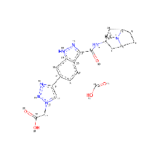 CN1C2CCC1CC(NC(=O)c1n[nH]c3cc(-c4cn(CC(=O)O)nn4)ccc13)C2.O=CO